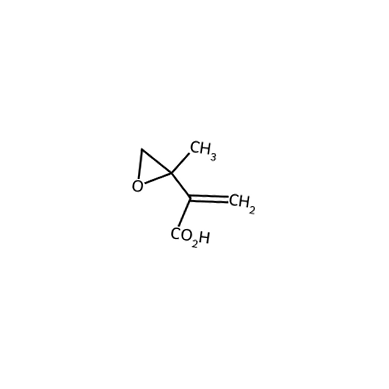 C=C(C(=O)O)C1(C)CO1